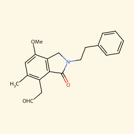 COc1cc(C)c(CC=O)c2c1CN(CCc1ccccc1)C2=O